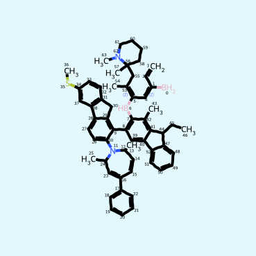 B/C(C=C)=C/C(Bc1c(-c2c(N3C(C)C=CC(c4ccccc4)=CC3C)ccc3c2Cc2ccc(SC)cc2-3)cc2c(c1C)C(CC)c1ccccc1-2)=C(/C)CC1(C)CCCCN1C